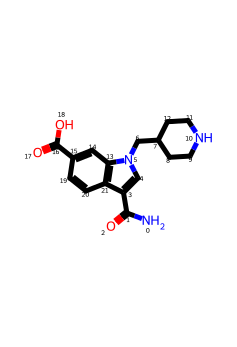 NC(=O)c1cn(CC2CCNCC2)c2cc(C(=O)O)ccc12